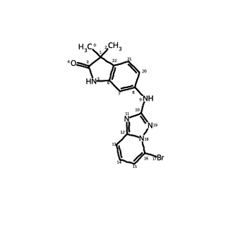 CC1(C)C(=O)Nc2cc(Nc3nc4cccc(Br)n4n3)ccc21